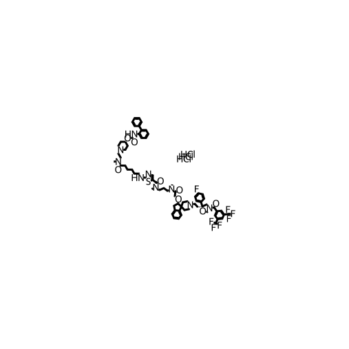 CN(CCN1CCC(OC(=O)Nc2ccccc2-c2ccccc2)CC1)C(=O)CCCCCNc1ncc(C(=O)N(C)CCCN(C)C(=O)CO[C@H]2Cc3ccccc3C23CCN(CC[C@]2(c4ccc(F)cc4)CN(C(=O)c4cc(C(F)(F)F)cc(C(F)(F)F)c4)CO2)CC3)s1.Cl.Cl.Cl